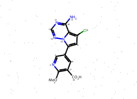 COc1ncc(-c2cc(Cl)c3c(N)ncnn23)cc1C(=O)O